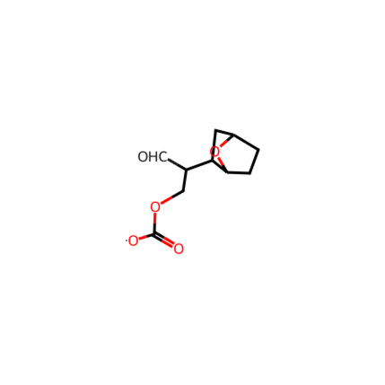 [O]C(=O)OCC(C=O)C1CC2CCC1O2